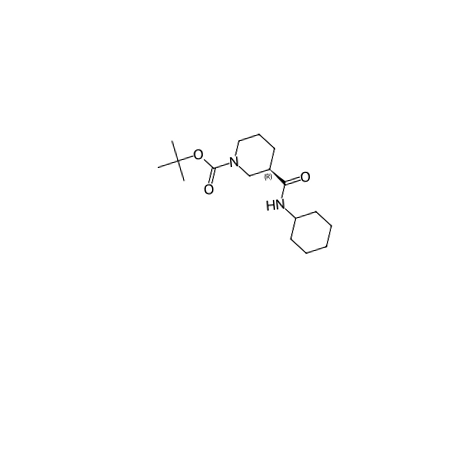 CC(C)(C)OC(=O)N1CCC[C@@H](C(=O)NC2CCCCC2)C1